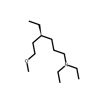 CC[C@@H](CCCN(CC)CC)CCOC